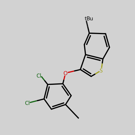 Cc1cc(Cl)c(Cl)c(Oc2csc3ccc(C(C)(C)C)cc23)c1